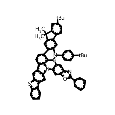 CC(C)(C)c1ccc(N2B3c4cc5nc(-c6ccccc6)oc5cc4-n4c5cc6c(cc5c5ccc(c3c54)-c3cc4c(cc32)-c2ccc(C(C)(C)C)cc2C4(C)C)sc2ccccc26)cc1